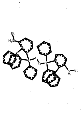 CC[SiH2]c1cccc([Si](OO[Si](c2ccccc2)(c2ccccc2)c2cccc([SiH2]CC)c2-c2ccccc2)(c2ccccc2)c2ccccc2)c1-c1ccccc1